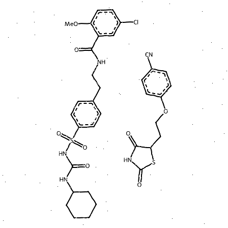 COc1ccc(Cl)cc1C(=O)NCCc1ccc(S(=O)(=O)NC(=O)NC2CCCCC2)cc1.N#Cc1ccc(OCCC2SC(=O)NC2=O)cc1